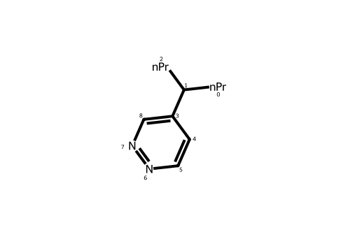 CCCC(CCC)c1ccnnc1